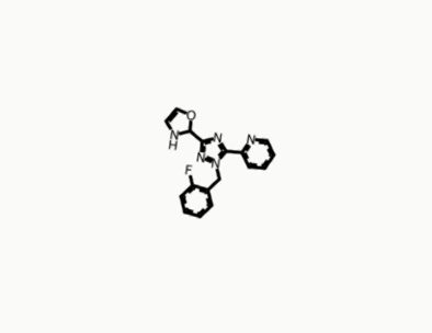 Fc1ccccc1Cn1nc(C2NC=CO2)nc1-c1ccccn1